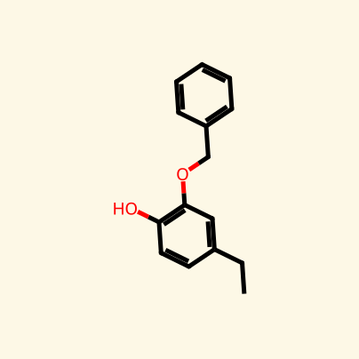 CCc1ccc(O)c(OCc2ccccc2)c1